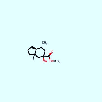 COC(=O)[C@]1(O)C[C@@H]2CCC=C2[C@H](C)C1